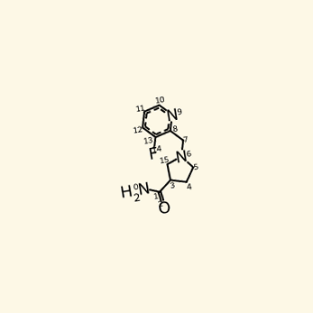 NC(=O)C1CCN(Cc2ncccc2F)C1